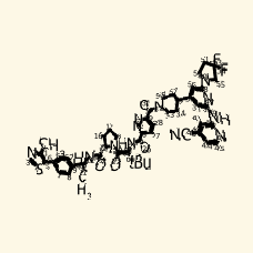 Cc1ncsc1-c1ccc([C@H](C)NC(=O)[C@@H]2CCCN2C(=O)[C@@H](NC(=O)c2ccc(C(=O)N3CCC(c4cc(Nc5cc(C#N)ccn5)nc(N5CCC(F)(F)C5)c4)CC3)nn2)C(C)(C)C)cc1